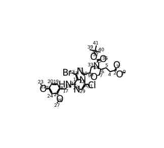 COC(=O)CCC1COC(c2nc(Br)c3c(NCc4ccc(OC)cc4OC)ncc(Cl)n23)CN1C(=O)OC(C)(C)C